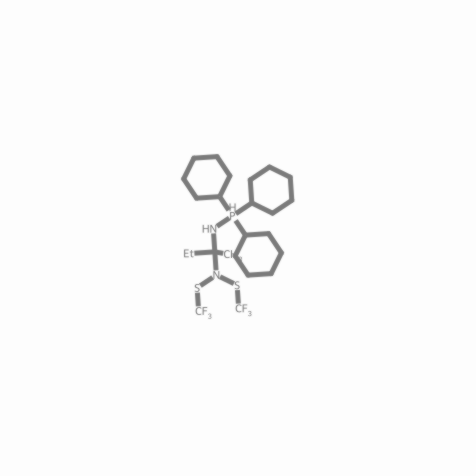 CCC(C)(N[PH](C1CCCCC1)(C1CCCCC1)C1CCCCC1)N(SC(F)(F)F)SC(F)(F)F